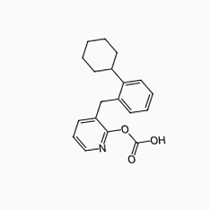 O=C(O)Oc1ncccc1Cc1ccccc1C1CCCCC1